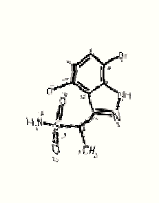 CC(c1n[nH]c2c(Br)ccc(Cl)c12)S(N)(=O)=O